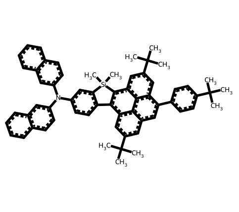 CC(C)(C)c1ccc(-c2cc3cc(C(C)(C)C)cc4c5c(c6cc(C(C)(C)C)cc2c6c34)[Si](C)(C)c2cc(N(c3ccc4ccccc4c3)c3ccc4ccccc4c3)ccc2-5)cc1